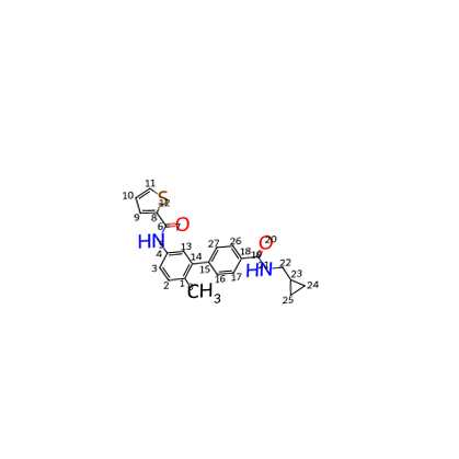 Cc1ccc(NC(=O)c2cccs2)cc1-c1ccc(C(=O)NCC2CC2)cc1